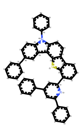 c1ccc(-c2cc(-c3ccccc3)nc(-c3cccc4c3sc3c4ccc4c3c3cc(-c5ccccc5)ccc3n4-c3ccccc3)c2)cc1